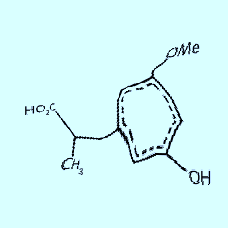 COc1cc(O)cc(C(C)C(=O)O)c1